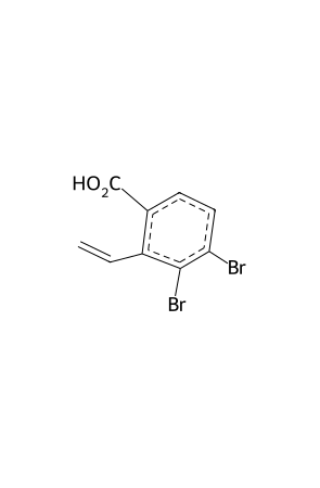 C=Cc1c(C(=O)O)ccc(Br)c1Br